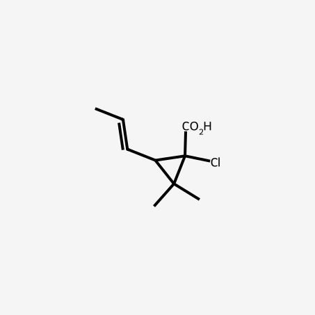 CC=CC1C(C)(C)C1(Cl)C(=O)O